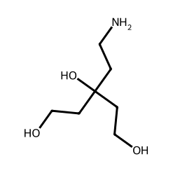 NCCC(O)(CCO)CCO